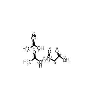 CC(=O)O.CC(=O)O.O=C(O)C[N+](=O)[O-].[Ni]